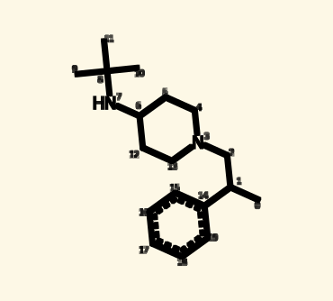 CC(CN1CCC(NC(C)(C)C)CC1)c1ccccc1